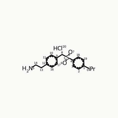 CC(C)c1ccc(S(=O)(=O)Cc2ccc(CCN)cc2)cc1.Cl